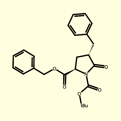 CC(C)(C)OC(=O)N1C(=O)[C@@H](Cc2ccccc2)C[C@@H]1C(=O)OCc1ccccc1